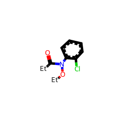 CCON(C(=O)CC)c1ccccc1Cl